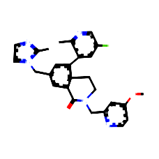 COc1ccnc(CN2CCc3c(cc(Cn4ccnc4C)cc3-c3cc(F)cnc3C)C2=O)c1